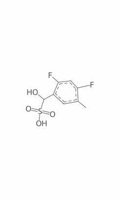 Cc1cc(C(O)S(=O)(=O)O)c(F)cc1F